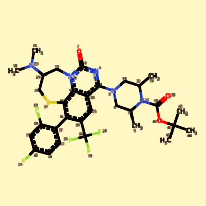 CC1CN(c2nc(=O)n3c4c(c(-c5ccc(F)cc5F)c(C(F)(F)F)cc24)SCC(N(C)C)C3)CC(C)N1C(=O)OC(C)(C)C